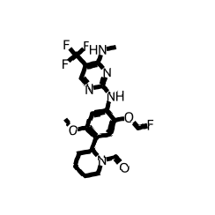 CNc1nc(Nc2cc(OC)c(C3CCCCN3C=O)cc2OCF)ncc1C(F)(F)F